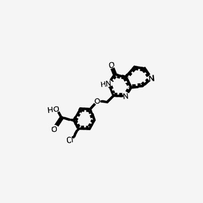 O=C(O)c1cc(OCc2nc3cnccc3c(=O)[nH]2)ccc1Cl